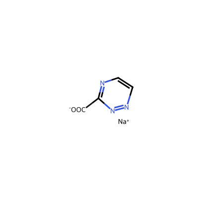 O=C([O-])c1nccnn1.[Na+]